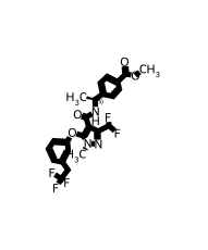 COC(=O)c1ccc([C@H](C)NC(=O)c2c(C(F)F)nn(C)c2Oc2cccc(CC(F)(F)F)c2)cc1